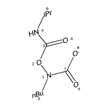 CCCCN(OC(=O)NC(C)C)C([O])=O